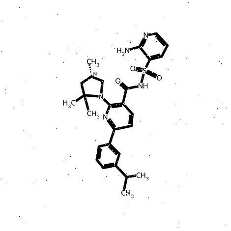 CC(C)c1cccc(-c2ccc(C(=O)NS(=O)(=O)c3cccnc3N)c(N3C[C@@H](C)CC3(C)C)n2)c1